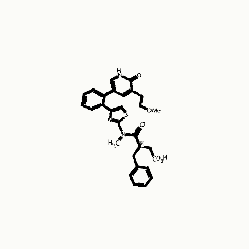 COCCc1cc(-c2ccccc2-c2csc(N(C)C(=O)[C@@H](CC(=O)O)Cc3ccccc3)n2)c[nH]c1=O